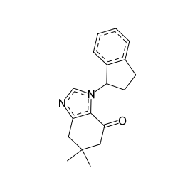 CC1(C)CC(=O)c2c(ncn2C2CCc3ccccc32)C1